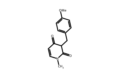 COc1ccc(CC2C(=O)C=CN(C)C2=O)cc1